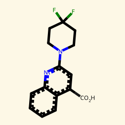 O=C(O)c1cc(N2CCC(F)(F)CC2)nc2ccccc12